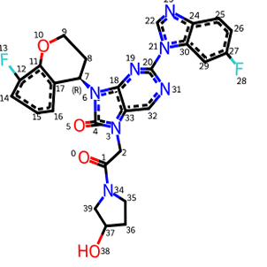 O=C(Cn1c(=O)n([C@@H]2CCOc3c(F)cccc32)c2nc(-n3cnc4ccc(F)cc43)ncc21)N1CCC(O)C1